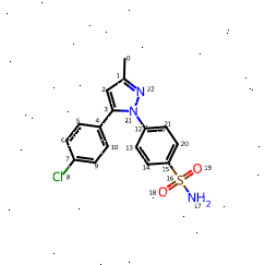 Cc1cc(-c2ccc(Cl)cc2)n(-c2ccc(S(N)(=O)=O)cc2)n1